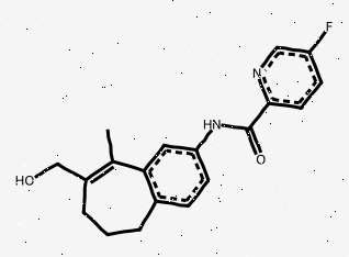 CC1=C(CO)CCCc2ccc(NC(=O)c3ccc(F)cn3)cc21